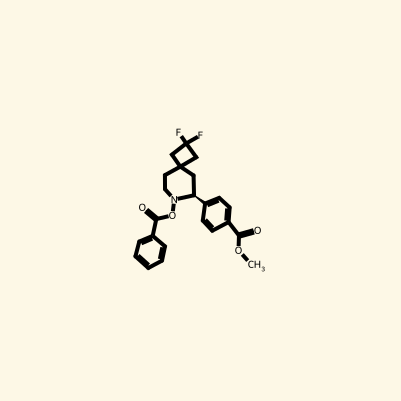 COC(=O)c1ccc([C@@H]2CC3(CCN2OC(=O)c2ccccc2)CC(F)(F)C3)cc1